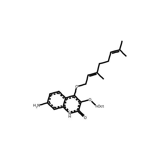 CCCCCCCCOc1c(OC/C=C(\C)CCC=C(C)C)c2ccc(N)cc2[nH]c1=O